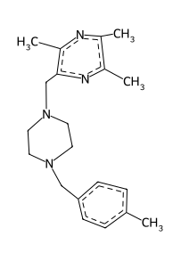 Cc1ccc(CN2CCN(Cc3nc(C)c(C)nc3C)CC2)cc1